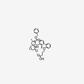 C[C@@H]1CC2(COCC(=O)N2)C(Cc2cccc(-c3ccccc3OCCCC(=O)O)c2F)N1C(=O)OCc1ccccc1